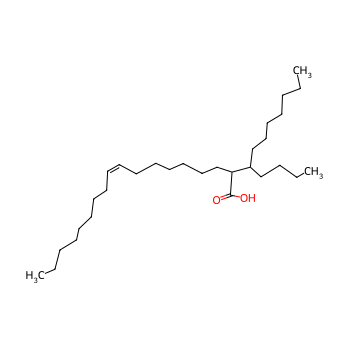 CCCCCCCC/C=C\CCCCCCC(C(=O)O)C(CCCC)CCCCCCC